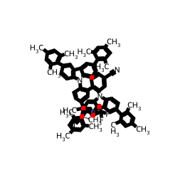 Cc1cc(C)c(-c2ccc3c(c2)c2cc(-c4c(C)cc(C)cc4C)ccc2n3-c2ccc(C(C)(/C=C/C(F)(F)F)[C@H](C)C#N)cc2-c2ccc(C#N)cc2-n2c3ccc(-c4c(C)cc(C)cc4C)cc3c3cc(-c4c(C)cc(C)cc4C)ccc32)c(C)c1